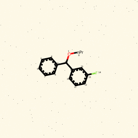 CCCOC(c1ccccc1)c1cccc(F)c1